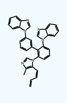 C=C/C=C\c1c(C)ncn1-c1cccc(-n2cnc3ccccc32)c1-c1cccc(-n2cnc3ccccc32)c1